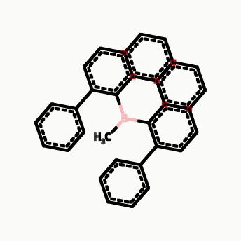 CB(c1c(-c2ccccc2)cccc1-c1ccccc1)c1c(-c2ccccc2)cccc1-c1ccccc1